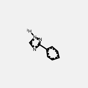 [2H]n1cnc(-c2ccccc2)n1